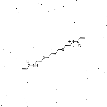 C=CC(=O)NCCSC/C=C/CSCCNC(=O)C=C